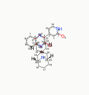 O=c1cc(-c2nc3ccccc3n([C@H]3C[C@H]4CCC[C@@H](C3)N4[C@H]3C[C@@H]4CCC[C@@H](C4)C3)c2=O)cc[nH]1